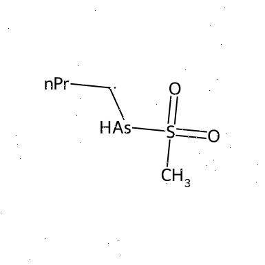 CCC[CH][AsH]S(C)(=O)=O